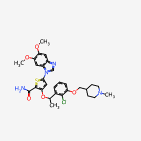 COc1cc2ncn(-c3cc(OC(C)c4cccc(OCC5CCN(C)CC5)c4Cl)c(C(N)=O)s3)c2cc1OC